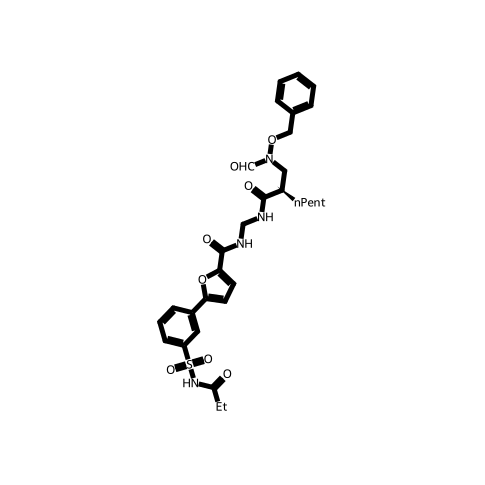 CCCCC[C@H](CN(C=O)OCc1ccccc1)C(=O)NCNC(=O)c1ccc(-c2cccc(S(=O)(=O)NC(=O)CC)c2)o1